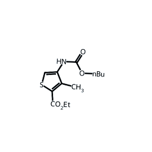 CCCCOC(=O)Nc1csc(C(=O)OCC)c1C